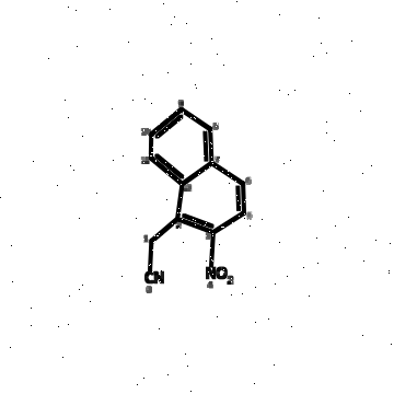 N#CCc1c([N+](=O)[O-])ccc2ccccc12